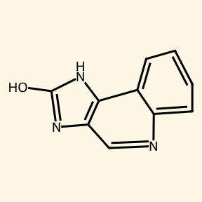 Oc1nc2cnc3ccccc3c2[nH]1